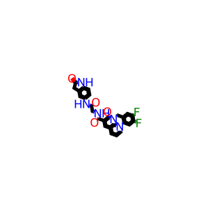 O=C(CNC(=O)c1cc2cccnc2n(Cc2ccc(F)c(F)c2)c1=O)Nc1ccc2c(c1)CC(=O)N2